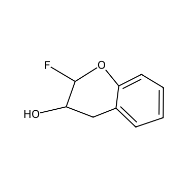 OC1Cc2ccccc2OC1F